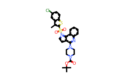 Cc1c(S(=O)(=O)n2ccc3c(N4CCN(C(=O)OC(C)(C)C)CC4)nc4ccccc4c32)sc2ccc(Cl)cc12